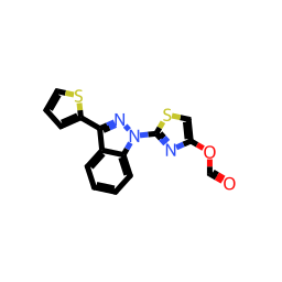 O=COc1csc(-n2nc(-c3cccs3)c3ccccc32)n1